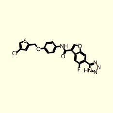 O=C(Nc1ccc(OCc2cc(Cl)cs2)cc1)c1coc2cc(-c3nnn[nH]3)c(F)cc12